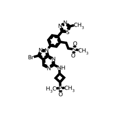 Cc1nnc(-c2ccc(-n3nc(Br)c4cnc(NC5CC(P(C)(C)=O)C5)nc43)cc2CCS(C)(=O)=O)s1